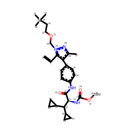 C=Cc1c(-c2ccc(NC(=O)[C@@H](NC(=O)OC(C)(C)C)C(C3CC3)C3CC3)cc2)c(C)nn1COCC[Si](C)(C)C